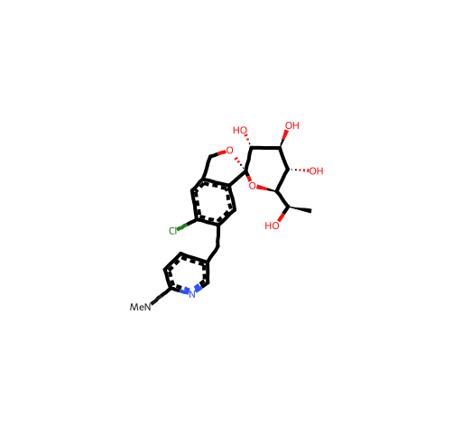 CNc1ccc(Cc2cc3c(cc2Cl)CO[C@]32O[C@H]([C@@H](C)O)[C@@H](O)[C@H](O)[C@H]2O)cn1